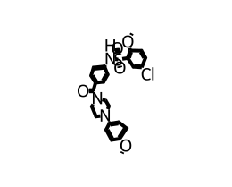 COc1ccc(N2CCN(C(=O)c3ccc(NS(=O)(=O)c4cc(Cl)ccc4OC)cc3)CC2)cc1